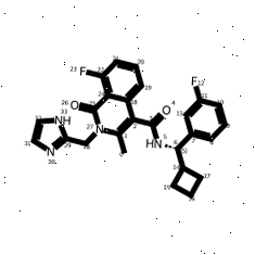 Cc1c(C(=O)N[C@H](c2cccc(F)c2)C2CCC2)c2cccc(F)c2c(=O)n1Cc1ncc[nH]1